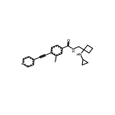 O=C(NCC1(NC2CC2)CCC1)c1ccc(C#Cc2ccncc2)c(F)c1